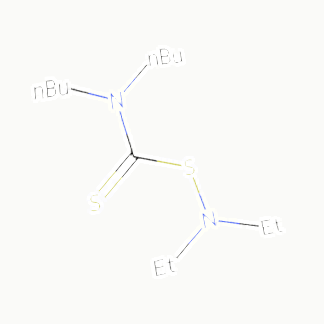 CCCCN(CCCC)C(=S)SN(CC)CC